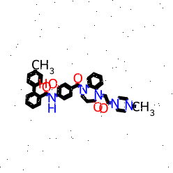 Cc1ccc(-c2ccccc2C(=O)Nc2ccc(C(=O)N3CCC(=O)N(CC(=O)N4CCN(C)CC4)c4ccccc43)cc2O)cc1